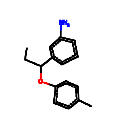 CCC(Oc1ccc(C)cc1)c1cccc(N)c1